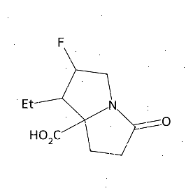 CCC1C(F)CN2C(=O)CCC12C(=O)O